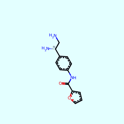 NC[C@@H](N)c1ccc(NC(=O)c2ccco2)cc1